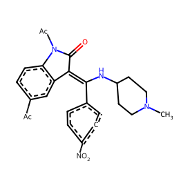 CC(=O)c1ccc2c(c1)/C(=C(/NC1CCN(C)CC1)c1ccc([N+](=O)[O-])cc1)C(=O)N2C(C)=O